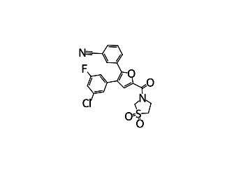 N#Cc1cccc(-c2oc(C(=O)N3CCS(=O)(=O)C3)cc2-c2cc(F)cc(Cl)c2)c1